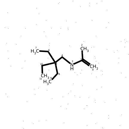 C=C(C)NCC(CC)(CC)CC